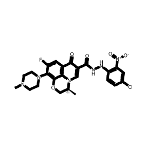 C[C@H]1COc2c(N3CCN(C)CC3)c(F)cc3c(=O)c(C(=O)NNc4ccc(Cl)cc4[N+](=O)[O-])cn1c23